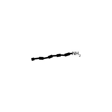 C#CC#CC#CC#CC#CN